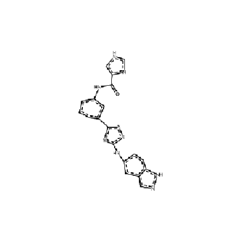 O=C(Nc1cccc(-c2nsc(Nc3ccc4[nH]ncc4c3)n2)c1)c1c[nH]cn1